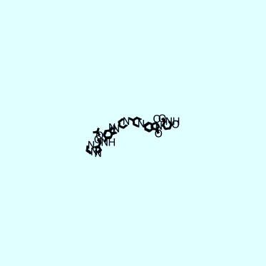 CC(C)Oc1cc2nn(C3CCN(CC4CCN(c5ccc6c(c5)C(=O)N(C5CCC(=O)NC5=O)C6=O)CC4)CC3)cc2cc1NC(=O)c1cnn2cccnc12